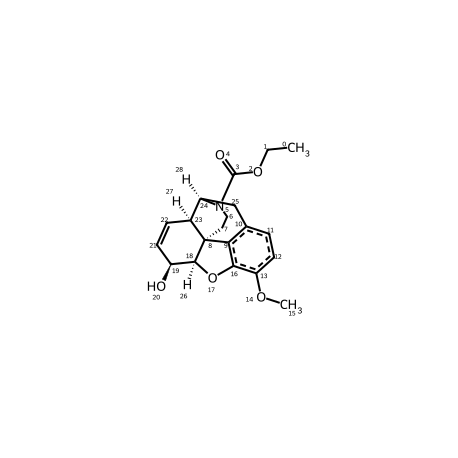 CCOC(=O)N1CC[C@]23c4c5ccc(OC)c4O[C@H]2[C@@H](O)C=C[C@H]3[C@H]1C5